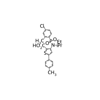 CCOP(=O)(c1ccc(Cl)cc1C)N(c1cc(-c2ccc(C)cc2)sc1C(=O)O)C(C)C